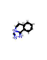 C1=CN2C=[N+]N=C2c2ccccc21